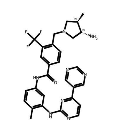 Cc1ccc(NC(=O)c2ccc(CN3C[C@@H](C)[C@H](N)C3)c(C(F)(F)F)c2)cc1Nc1nccc(-c2cncnc2)n1